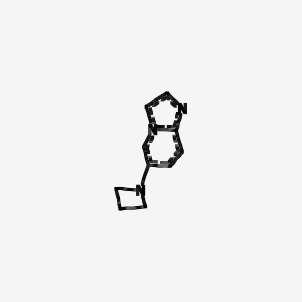 c1cn2cc(N3CCC3)ccc2n1